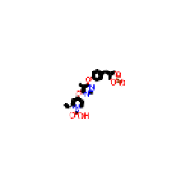 CC[C@@H]1C[C@H](Oc2ncnc(Oc3ccc(CC4COS(=O)OC4)cc3)c2C)CCN1C(=O)O